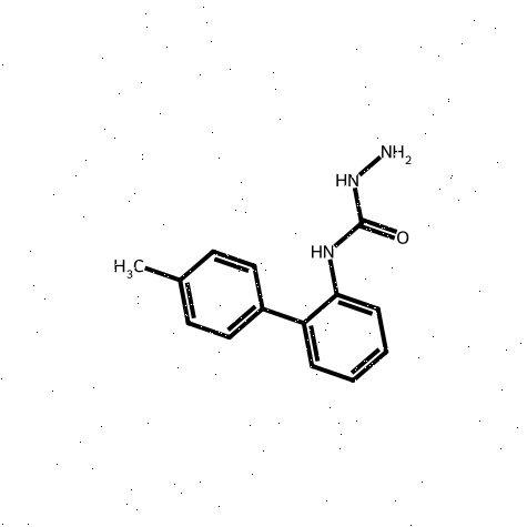 Cc1ccc(-c2ccccc2NC(=O)NN)cc1